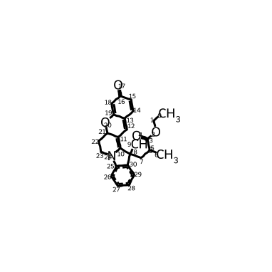 CCOC(=O)C(C)CC1(C)C2=C3C=C4C=CC(=O)C=C4OC3CCN2c2ccccc21